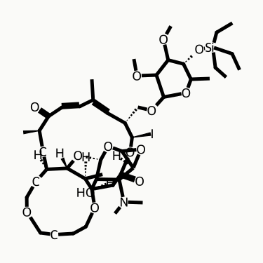 CC[Si](CC)(CC)O[C@@H]1C(C)OC(OC[C@H]2/C=C(C)/C=C/C(=O)[C@H](C)C[C@@H]3CCOCCCCO[C@H](CC(=O)O[C@@H]2I)[C@H](C)[C@H]3O[C@@H]2OC3O[C@H]3C(N(C)C)C2O)C(OC)C1OC